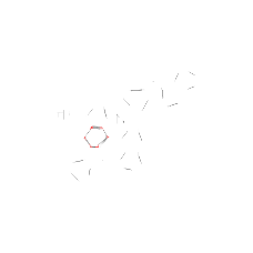 CC(C)(C)c1ccc(N(c2ccc3c(c2)-c2ccc4ccccc4c2C3(C)C)c2ccc3ccccc3c2-c2cccc3c2C(C)(C)c2ccccc2-3)c2ccccc12